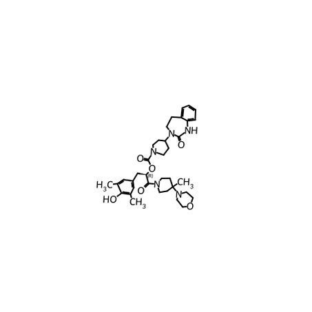 Cc1cc(C[C@@H](OC(=O)N2CCC(N3CCc4ccccc4NC3=O)CC2)C(=O)N2CCC(C)(N3CCOCC3)CC2)cc(C)c1O